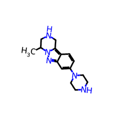 CC1CNCc2c3ccc(N4CCNCC4)cc3nn21